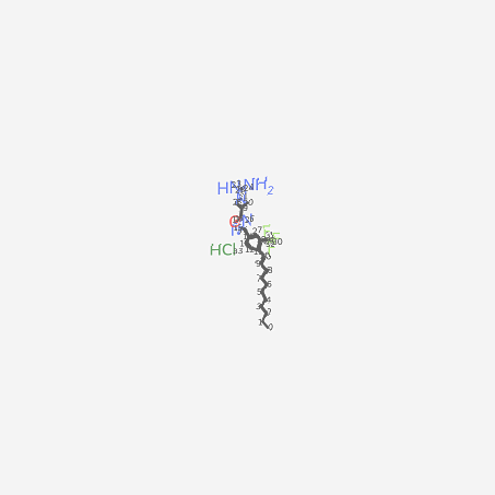 CCCCCCCCCCCc1ccc(-c2noc(C3CN(C(=N)N)C3)n2)cc1C(F)(F)F.Cl